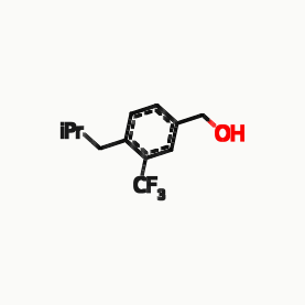 CC(C)Cc1ccc(CO)cc1C(F)(F)F